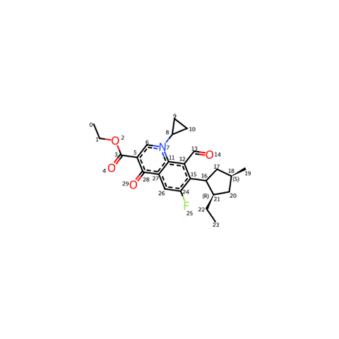 CCOC(=O)c1cn(C2CC2)c2c(C=O)c(C3C[C@@H](C)C[C@H]3CC)c(F)cc2c1=O